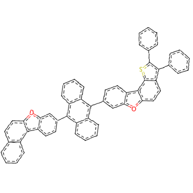 c1ccc(-c2sc3c(ccc4oc5cc(-c6c7ccccc7c(-c7ccc8c(c7)oc7ccc9ccccc9c78)c7ccccc67)ccc5c43)c2-c2ccccc2)cc1